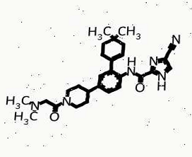 CN(C)CC(=O)N1CCC(c2ccc(NC(=O)c3nc(C#N)c[nH]3)c(C3=CCC(C)(C)CC3)c2)CC1